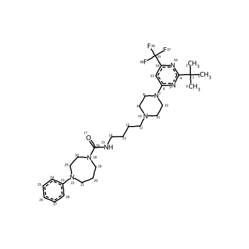 CC(C)(C)c1nc(N2CCN(CCCCNC(=O)N3CCCN(c4ccccc4)CC3)CC2)cc(C(F)(F)F)n1